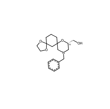 OC[C@@H]1CN(Cc2ccccc2)CC2(CCCC3(C2)OCCO3)O1